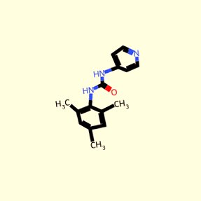 Cc1cc(C)c(NC(=O)Nc2ccncc2)c(C)c1